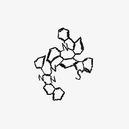 c1ccc(-c2nc3ccc4ccccc4c3nc2-n2c3cc4sc5ccccc5c4c4c5cccc6c7ccccc7n(c7cccc2c7c43)c65)cc1